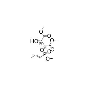 CC=CP(=O)(OC)O[C@@H](C(=O)OC)[C@@H](O)C(=O)OC